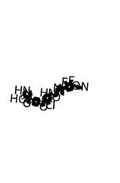 Cn1c(-c2ccc(OCC#N)c(F)c2F)cnc1C(=O)Nc1ccc(C(=O)N2CCN(C(=O)[C@@H]3CCNC[C@H]3O)CC2)c(Cl)c1